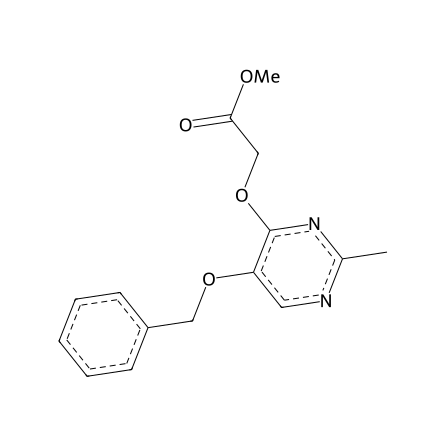 COC(=O)COc1nc(C)ncc1OCc1ccccc1